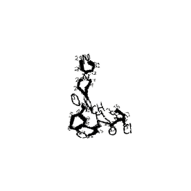 CN(C(=O)c1ccc2c(c1)C(NC(=O)c1sccc1Cl)CCO2)C1CCN(c2ccncc2)CC1